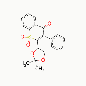 CC1(C)OCC(C2=C(c3ccccc3)C(=O)c3ccccc3S2(=O)=O)O1